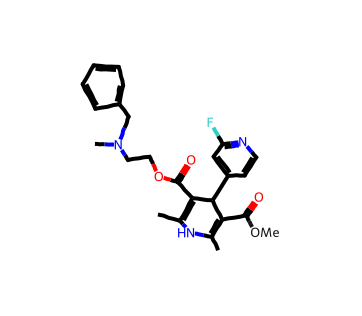 COC(=O)C1=C(C)NC(C)=C(C(=O)OCCN(C)Cc2ccccc2)C1c1ccnc(F)c1